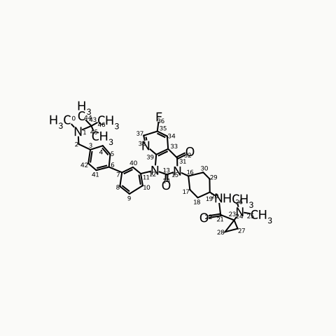 CN(Cc1ccc(-c2cccc(-n3c(=O)n(C4CCC(NC(=O)C5(N(C)C)CC5)CC4)c(=O)c4cc(F)cnc43)c2)cc1)C(C)(C)C